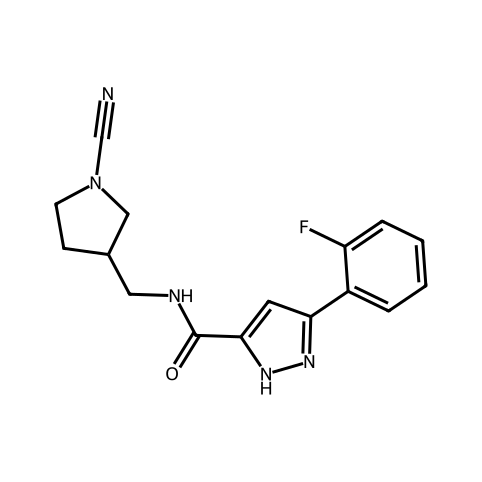 N#CN1CCC(CNC(=O)c2cc(-c3ccccc3F)n[nH]2)C1